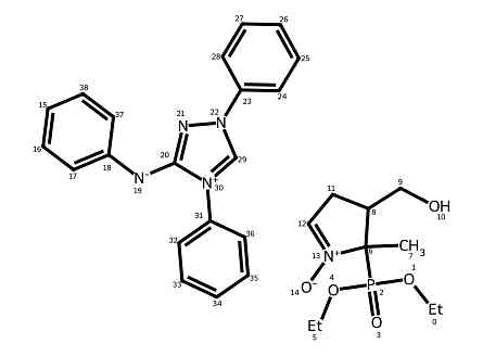 CCOP(=O)(OCC)C1(C)C(CO)CC=[N+]1[O-].c1ccc([N-]c2nn(-c3ccccc3)c[n+]2-c2ccccc2)cc1